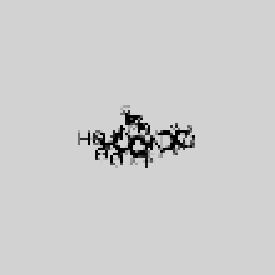 COc1c(N2CCC3(CCOC3)CC2)c(F)cc2c(=O)c(C(=O)O)cn(C3CC3)c12